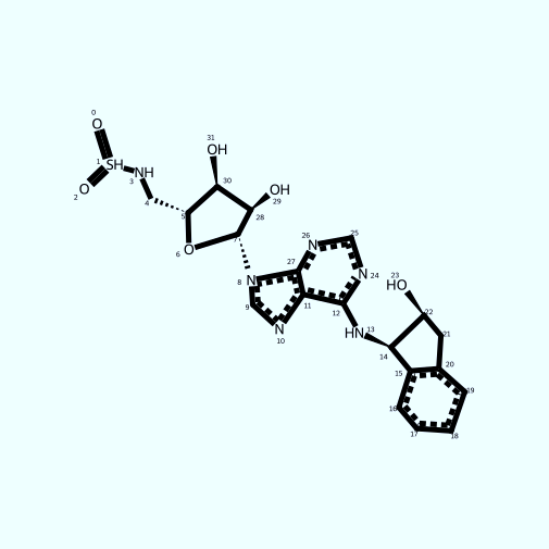 O=[SH](=O)NC[C@H]1O[C@@H](n2cnc3c(N[C@@H]4c5ccccc5C[C@@H]4O)ncnc32)[C@H](O)[C@@H]1O